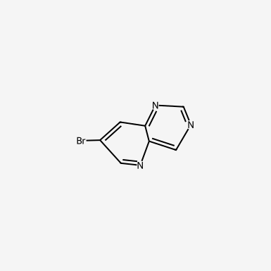 Brc1cnc2cncnc2c1